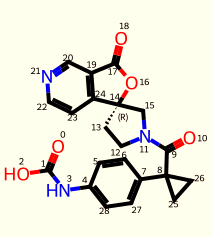 O=C(O)Nc1ccc(C2(C(=O)N3CC[C@@]4(C3)OC(=O)c3cnccc34)CC2)cc1